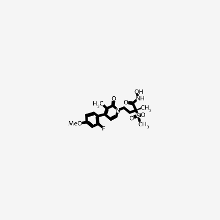 COc1ccc(-c2ccn(CC[C@](C)(C(=O)NO)S(C)(=O)=O)c(=O)c2C)c(F)c1